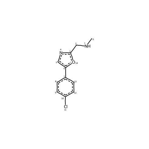 CNCc1ncc(-c2ccc(Cl)cc2)o1